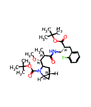 CO[C@@H](C1C[C@@H]2C[C@@H]2N1C(=O)OC(C)(C)C)[C@@H](C)C(=O)NC[C@@H](Cc1ccccc1F)C(=O)OC(C)(C)C